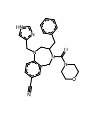 N#Cc1ccc2c(c1)CN(C(=O)N1CCOCC1)C(Cc1ccccc1)CN2Cc1c[nH]cn1